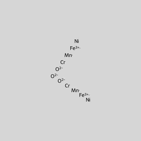 [Cr].[Cr].[Fe+3].[Fe+3].[Mn].[Mn].[Ni].[Ni].[O-2].[O-2].[O-2]